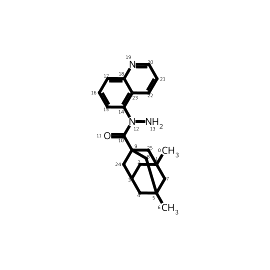 CC12CC3CC(C)(C1)CC(C(=O)N(N)c1cccc4ncccc14)(C3)C2